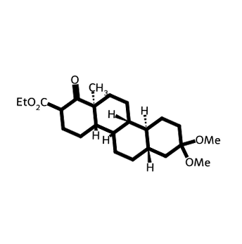 CCOC(=O)C1CC[C@H]2[C@@H]3CC[C@H]4CC(OC)(OC)CC[C@@H]4[C@H]3CC[C@]2(C)C1=O